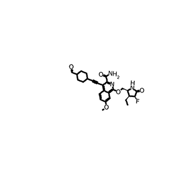 CC[C@@H]1[C@H](F)C(=O)N[C@@H]1COc1nc(C(N)=O)c(C#CC2CCC(C=O)CC2)c2ccc(OC)cc12